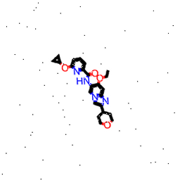 CCOc1cc2nc(C3CCOCC3)cn2cc1NC(=O)c1cccc(OC2CC2)n1